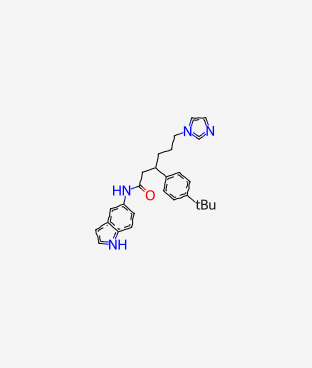 CC(C)(C)c1ccc(C(CCCn2ccnc2)CC(=O)Nc2ccc3[nH]ccc3c2)cc1